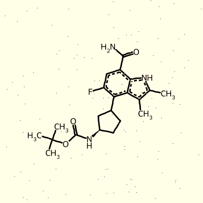 Cc1[nH]c2c(C(N)=O)cc(F)c(C3CC[C@@H](NC(=O)OC(C)(C)C)C3)c2c1C